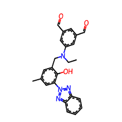 CCN(Cc1cc(C)cc(-n2nc3ccccc3n2)c1O)c1cc(C=O)cc(C=O)c1